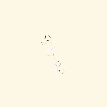 COc1cc(F)ccc1OCCNCC(O)COc1ccc2c(c1)[nH]c1ccccc12